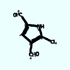 O=Cc1cc(C=O)c(Cl)[nH]1